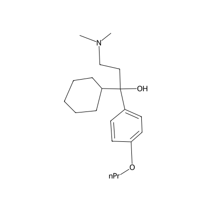 CCCOc1ccc(C(O)(CCN(C)C)C2CCCCC2)cc1